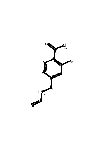 C=CNCc1ccc(C(=C)Cl)c(C)c1